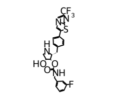 O=C(NCc1cccc(F)c1)O[C@@H]1[C@@H](O)CN[C@@H]1Cc1ccc(-c2cn3cc(C(F)(F)F)nc3s2)cc1